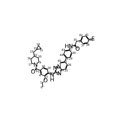 CCOc1cc(C(=O)N2CCC(CC3CC3)CC2)ccc1Nc1nc2ccc(-c3ccc(NC(=O)Cc4ccc(F)cc4)cc3)cn2n1